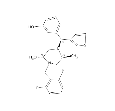 C[C@@H]1CN([C@H](c2ccsc2)c2cccc(O)c2)[C@@H](C)CN1Cc1c(F)cccc1F